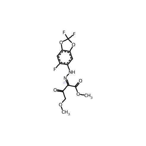 COCC(=O)/C(=N/Nc1cc2c(cc1F)OC(F)(F)O2)C(=O)OC